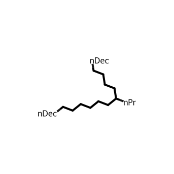 [CH2]CCC(CCCCCCCCCCCCCC)CCCCCCCCCCCCCCCC